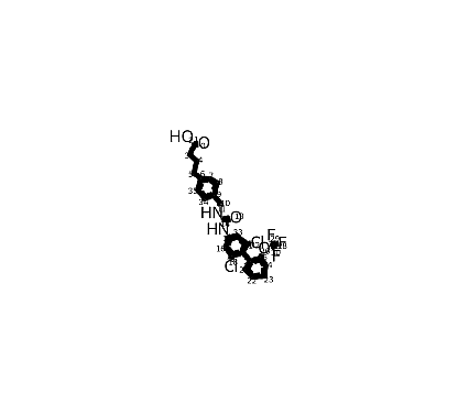 O=C(O)CCCc1ccc(CNC(=O)Nc2cc(Cl)c(-c3ccccc3OC(F)(F)F)c(Cl)c2)cc1